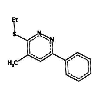 CCSc1nnc(-c2ccccc2)cc1C